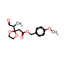 COc1ccc(COC(=O)CC2(C(C)C=O)OCCO2)cc1